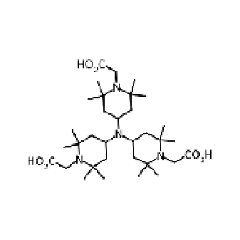 CC1(C)CC(N(C2CC(C)(C)N(CC(=O)O)C(C)(C)C2)C2CC(C)(C)N(CC(=O)O)C(C)(C)C2)CC(C)(C)N1CC(=O)O